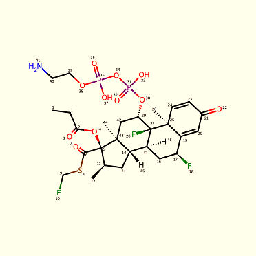 CCC(=O)O[C@]1(C(=O)SCF)[C@H](C)C[C@H]2[C@@H]3C[C@H](F)C4=CC(=O)C=C[C@]4(C)[C@@]3(F)[C@@H](OP(=O)(O)OP(=O)(O)OCCN)C[C@@]21C